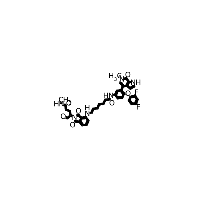 CNC(=O)CCC(C=O)N1C(=O)c2cccc(NCCCCCCC(=O)Nc3ccc(Oc4ccc(F)cc4F)c(-c4cn(C)c(=O)c5[nH]ccc45)c3)c2C1=O